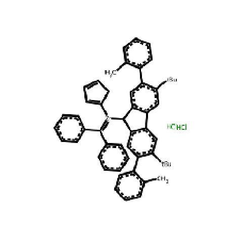 Cc1ccccc1-c1cc2c(cc1C(C)(C)C)-c1cc(C(C)(C)C)c(-c3ccccc3C)cc1[CH]2[Zr]([C]1=CC=CC1)=[C](c1ccccc1)c1ccccc1.Cl.Cl